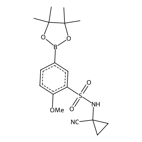 COc1ccc(B2OC(C)(C)C(C)(C)O2)cc1S(=O)(=O)NC1(C#N)CC1